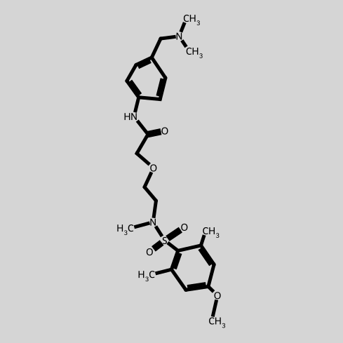 COc1cc(C)c(S(=O)(=O)N(C)CCOCC(=O)Nc2ccc(CN(C)C)cc2)c(C)c1